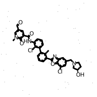 Cc1c(-c2nc3cc(CN4CC[C@@H](O)C4)cc(Cl)c3o2)cccc1-c1cccc(NC(=O)c2cc(C=O)cn(C)c2=O)c1Cl